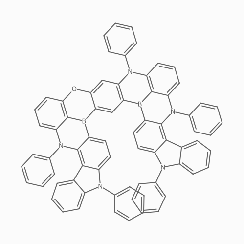 c1ccc(N2c3cc4c(cc3B3c5ccc6c(c5N(c5ccccc5)c5cccc2c53)c2ccccc2n6-c2ccccc2)B2c3ccc5c(c3N(c3ccccc3)c3cccc(c32)O4)c2ccccc2n5-c2ccccc2)cc1